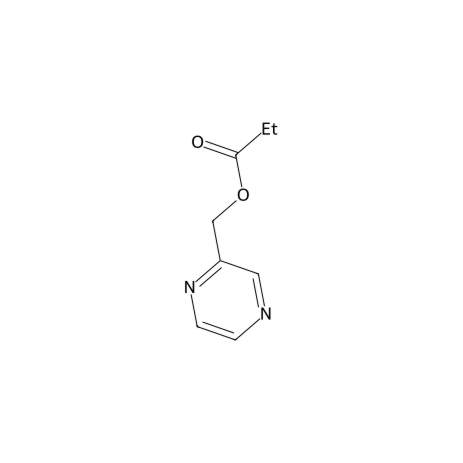 CCC(=O)OCc1cnccn1